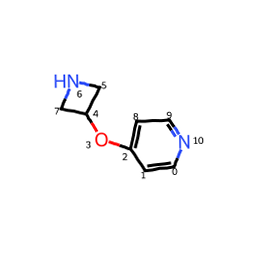 c1cc(OC2CNC2)ccn1